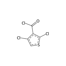 O=C(Cl)c1c(Cl)csc1Cl